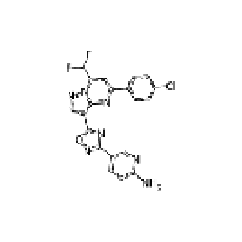 Nc1ccc(-c2noc(-c3cnn4c(C(F)F)cc(-c5ccc(Cl)cc5)nc34)n2)cn1